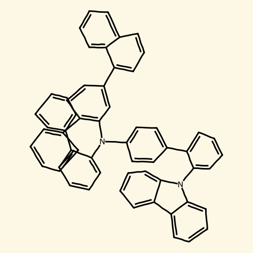 c1ccc(-c2ccccc2N(c2ccc(-c3ccccc3-n3c4ccccc4c4ccccc43)cc2)c2cc(-c3cccc4ccccc34)ccc2-c2ccccc2)cc1